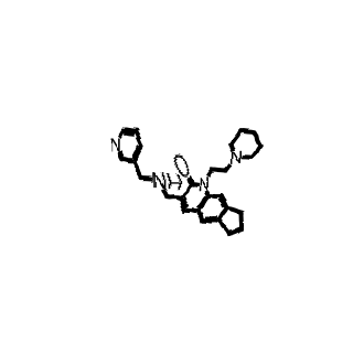 O=c1c(CNCc2cccnc2)cc2cc3c(cc2n1CCN1CCCCC1)CCC3